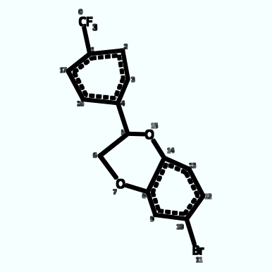 FC(F)(F)c1ccc(C2COc3cc(Br)ccc3O2)cc1